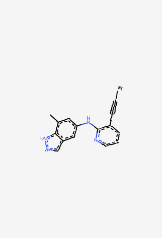 Cc1cc(Nc2ncccc2C#CC(C)C)cc2cn[nH]c12